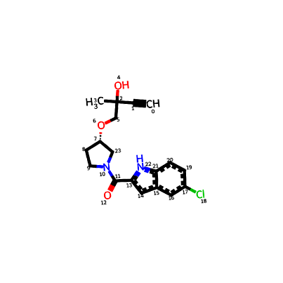 C#CC(C)(O)CO[C@H]1CCN(C(=O)c2cc3cc(Cl)ccc3[nH]2)C1